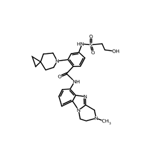 CN1CCn2c(nc3c(NC(=O)c4ccc(NS(=O)(=O)CCO)cc4N4CCC5(CC4)CC5)cccc32)C1